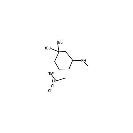 CPC1CCCC(C(C)(C)C)(C(C)(C)C)C1.C[PH][Ti+2].[Cl-].[Cl-]